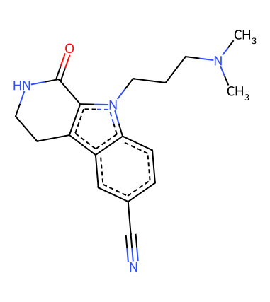 CN(C)CCCn1c2c(c3cc(C#N)ccc31)CCNC2=O